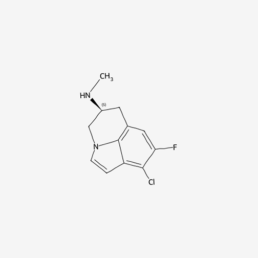 CN[C@H]1Cc2cc(F)c(Cl)c3ccn(c23)C1